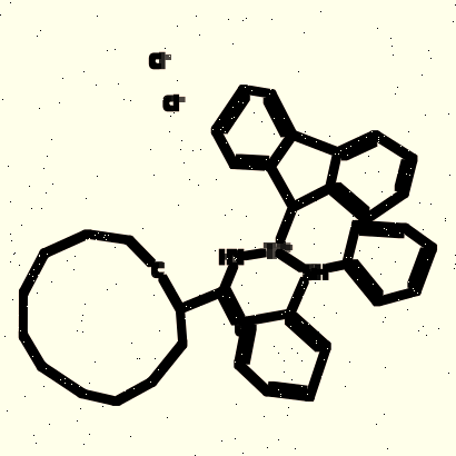 O=C([NH][Ti+2]([CH]1c2ccccc2-c2ccccc21)[SiH](c1ccccc1)c1ccccc1)C1CCCCCCCCCCC1.[Cl-].[Cl-]